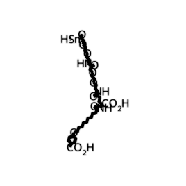 O=[C]([SnH])COCCOCCNC(=O)COCCOCCNC(=O)CC[C@H](NC(=O)CCCCCCCCCOc1ccc(C(=O)O)cc1)C(=O)O